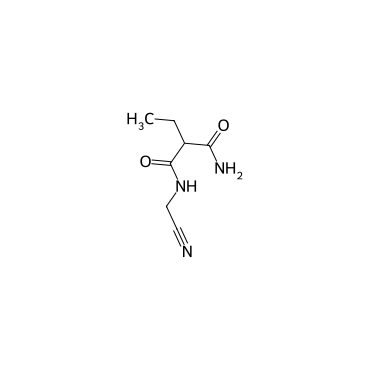 CCC(C(N)=O)C(=O)NCC#N